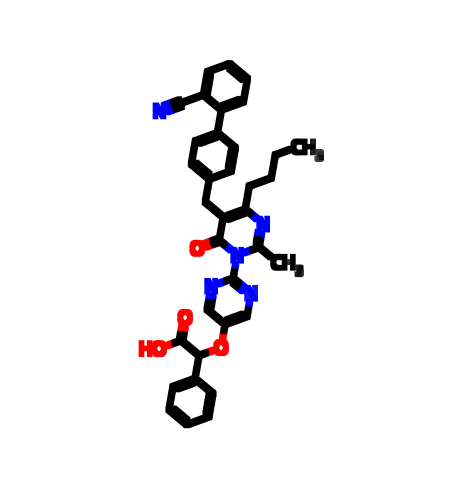 CCCCc1nc(C)n(-c2ncc(OC(C(=O)O)c3ccccc3)cn2)c(=O)c1Cc1ccc(-c2ccccc2C#N)cc1